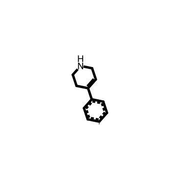 [c]1ccc(C2=CCNCC2)cc1